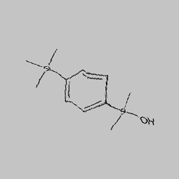 C[Si](C)(C)c1ccc([Si](C)(C)O)cc1